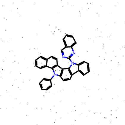 c1ccc(-n2c3ccc4c5ccccc5n(-c5ncc6ccccc6n5)c4c3c3ccc4ccccc4c32)cc1